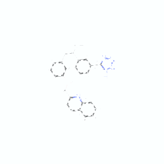 CC(Cc1cccc(OCc2ccc3ccccc3n2)c1)c1cccc(-c2nnn[nH]2)c1